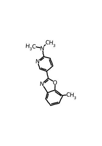 Cc1cccc2nc(-c3ccc(N(C)C)nc3)oc12